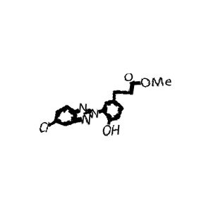 COC(=O)CCc1ccc(O)c(-n2n3c4ccc(Cl)cc4n23)c1